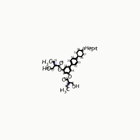 C/C=C(\CO)C(=O)Oc1cc(OC(=O)/C(=C/C)CO)cc(-c2ccc(C3CCC(CCCCCCC)CC3)cc2)c1